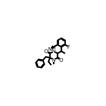 CCC1(Cc2ccccc2)C(=O)NC(C(C)c2c(F)cccc2C#N)C(=O)N1C